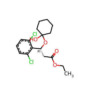 CCOC(=O)C[C@@H](OC1(O)CCCCC1)c1c(Cl)cccc1Cl